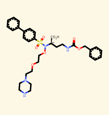 O=C(NCC[C@H](C(=O)O)N(OCCOCCN1CCNCC1)S(=O)(=O)c1ccc(-c2ccccc2)cc1)OCc1ccccc1